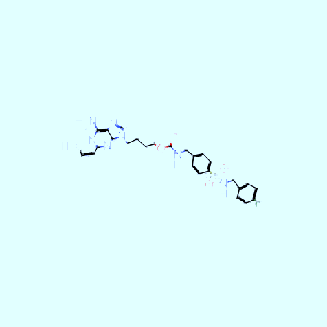 C/C=C\c1nc(N)c2ncn(CCCCOC(=O)NCc3ccc(S(=O)(=O)NCc4ccc(Cl)cc4)cc3)c2n1